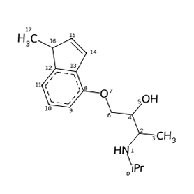 CC(C)NC(C)C(O)COc1cccc2c1C=CC2C